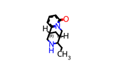 CCC1NC[C@H]2C[C@@H]1Cn1c2cccc1=O